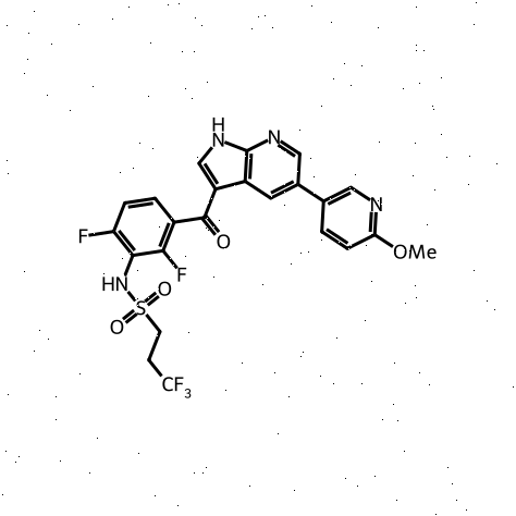 COc1ccc(-c2cnc3[nH]cc(C(=O)c4ccc(F)c(NS(=O)(=O)CCC(F)(F)F)c4F)c3c2)cn1